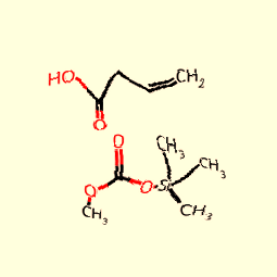 C=CCC(=O)O.COC(=O)O[Si](C)(C)C